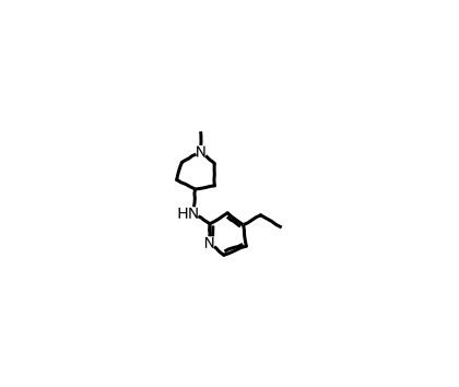 CCc1ccnc(NC2CCN(C)CC2)c1